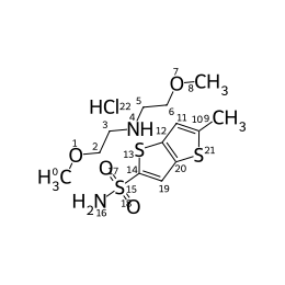 COCCNCCOC.Cc1cc2sc(S(N)(=O)=O)cc2s1.Cl